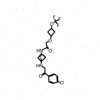 O=C(COC1CC(OC(F)(F)F)C1)NC12CC(NCC(=O)c3ccc(Cl)cc3)(C1)C2